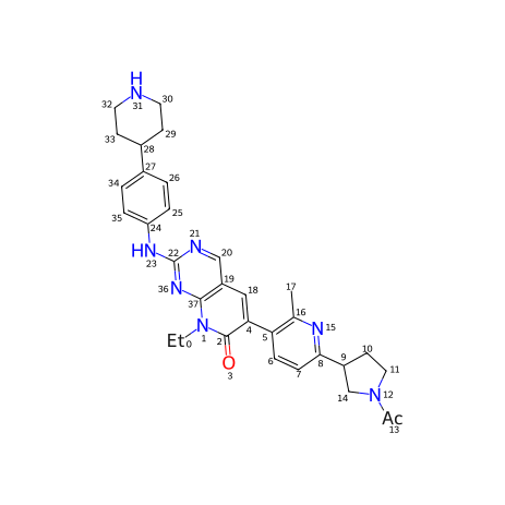 CCn1c(=O)c(-c2ccc(C3CCN(C(C)=O)C3)nc2C)cc2cnc(Nc3ccc(C4CCNCC4)cc3)nc21